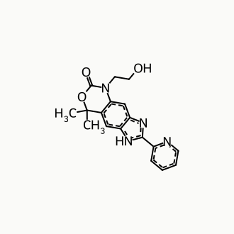 CC1(C)OC(=O)N(CCO)c2cc3nc(-c4ccccn4)[nH]c3cc21